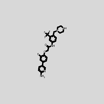 Nc1ccc(-c2ccc(OCC(=O)Nc3ccc(CN4CCNCC4)c(C(F)(F)F)c3)c(F)c2)cn1